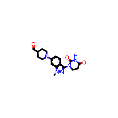 Cn1nc(N2CCC(=O)NC2=O)c2ccc(N3CCC(C=O)CC3)cc21